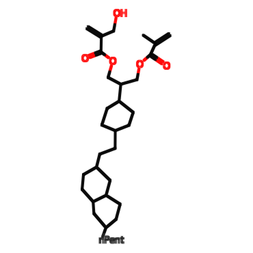 C=C(C)C(=O)OCC(COC(=O)C(=C)CO)C1CCC(CCC2CCC3CC(CCCCC)CCC3C2)CC1